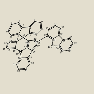 c1ccc2c(c1)-c1ccccc1C21c2ccccc2-n2c3ccccc3c3cc(-c4cccc5c4sc4ccccc45)cc1c32